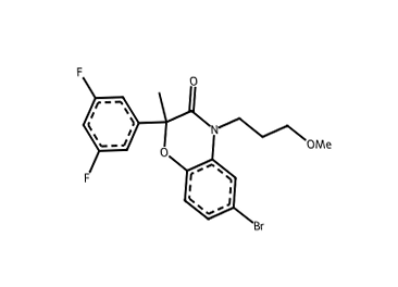 COCCCN1C(=O)C(C)(c2cc(F)cc(F)c2)Oc2ccc(Br)cc21